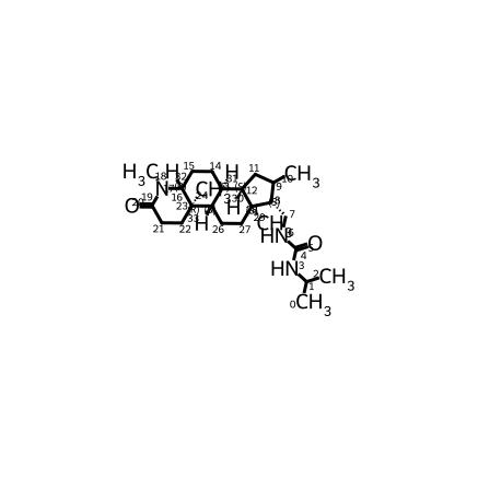 CC(C)NC(=O)NC[C@H]1C(C)C[C@H]2[C@@H]3CC[C@H]4N(C)C(=O)CC[C@]4(C)[C@H]3CC[C@]12C